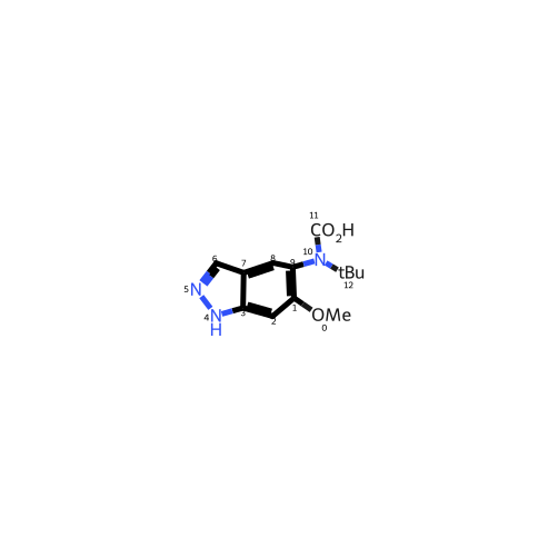 COc1cc2[nH]ncc2cc1N(C(=O)O)C(C)(C)C